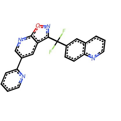 FC(F)(c1ccc2ncccc2c1)c1noc2ncc(-c3ccccn3)cc12